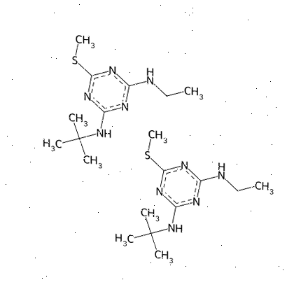 CCNc1nc(NC(C)(C)C)nc(SC)n1.CCNc1nc(NC(C)(C)C)nc(SC)n1